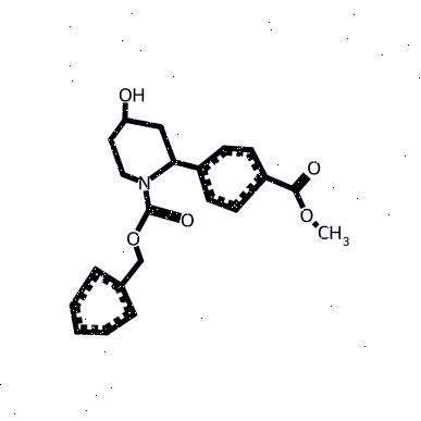 COC(=O)c1ccc(C2CC(O)CCN2C(=O)OCc2ccccc2)cc1